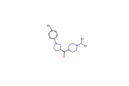 CCC(CC)N1CCN(C(=O)[C@H]2CCN(c3ccc(C(C)=O)cc3)C2)CC1